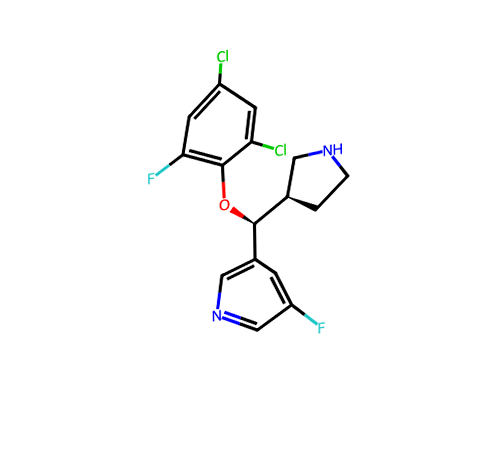 Fc1cncc([C@@H](Oc2c(F)cc(Cl)cc2Cl)[C@@H]2CCNC2)c1